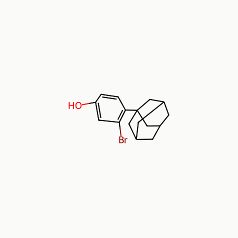 Oc1ccc(C23CC4CC(CC(C4)C2)C3)c(Br)c1